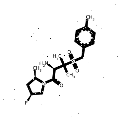 Cc1ccc(CS(=O)(=O)C(C)(C)[C@H](N)C(=O)N2C[C@@H](F)C[C@H]2C)cc1